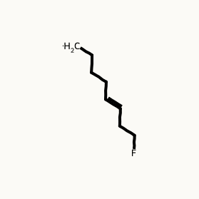 [CH2]CCCC=CCCF